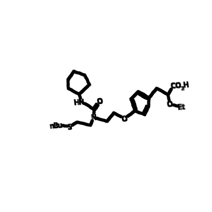 CCCCSCCN(CCOc1ccc(CC(OCC)C(=O)O)cc1)C(=O)NC1CCCCC1